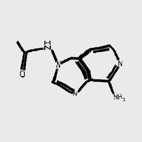 CC(=O)Nn1cnc2c(N)nccc21